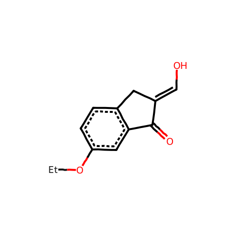 CCOc1ccc2c(c1)C(=O)C(=CO)C2